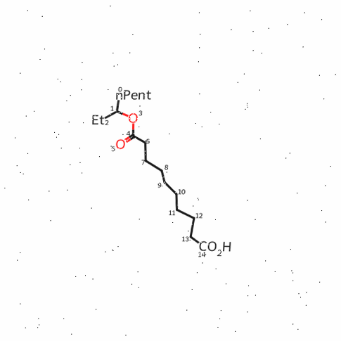 CCCCCC(CC)OC(=O)CCCCCCCCC(=O)O